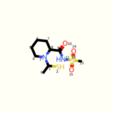 CC(S)N1CCCCC1C(=O)NS(C)(=O)=O